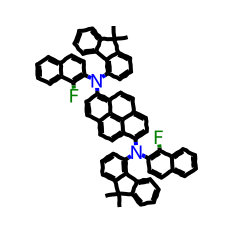 CC1(C)c2ccccc2-c2c(N(c3ccc4ccccc4c3F)c3ccc4ccc5c(N(c6cccc7c6-c6ccccc6C7(C)C)c6ccc7ccccc7c6F)ccc6ccc3c4c65)cccc21